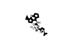 CC(C)n1ccc([S@@](N)(=O)=NC(=O)Nc2c3c(nc4c2CCC42CC2)CCC3)n1